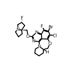 Fc1c(Br)c(Cl)c2c3c(nc(OC[C@@]45CCCN4C[C@H](F)C5)nc13)N1CCCC[C@H]1CO2